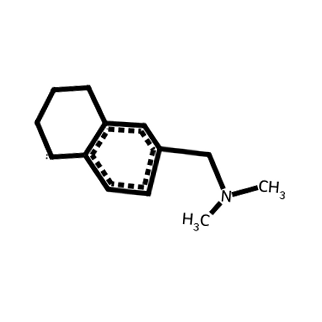 CN(C)Cc1ccc2c(c1)CCC[C]2